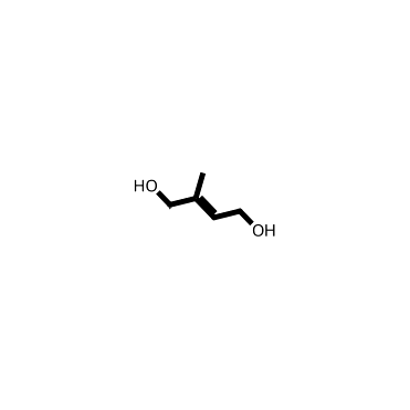 C/C([CH]O)=C\CO